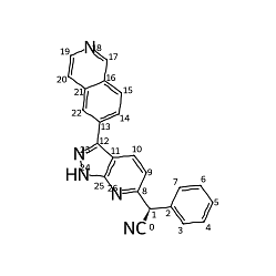 N#C[C@H](c1ccccc1)c1ccc2c(-c3ccc4cnccc4c3)n[nH]c2n1